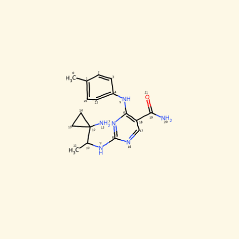 Cc1ccc(Nc2nc(NC(C)C3(N)CC3)ncc2C(N)=O)cc1